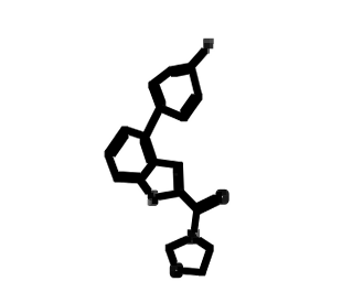 O=C(c1cc2c(-c3ccc(F)cc3)cccc2s1)N1CCOC1